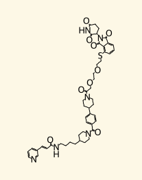 O=C(/C=C/c1cccnc1)NCCCCC1CCN(C(=O)c2ccc(C3CCN(C(=O)COCCOCCSc4cccc5c4C(=O)N(C4CCC(=O)NC4=O)C5=O)CC3)cc2)CC1